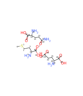 CSCCC(N)C(=O)O.NC(=O)CCC(N)C(=O)O.NC(CCC(=O)O)C(=O)O